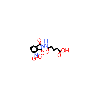 O=C(O)CCCC(=O)NN1C(=O)c2cccc([N+](=O)[O-])c2C1=O